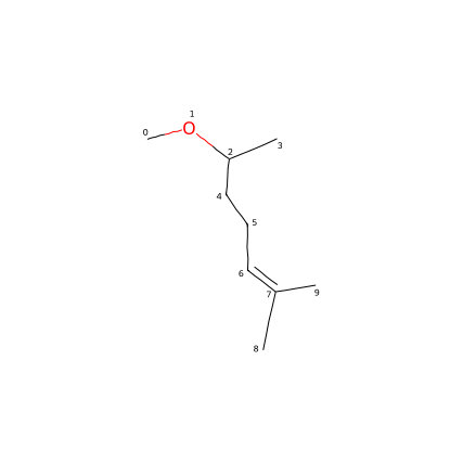 COC(C)CCC=C(C)C